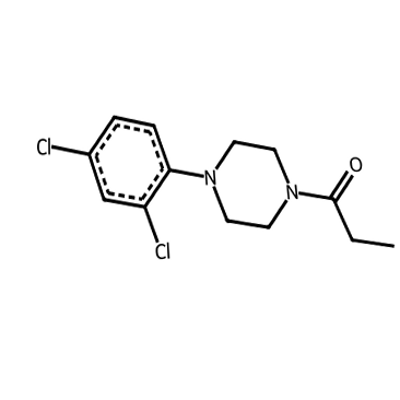 CCC(=O)N1CCN(c2ccc(Cl)cc2Cl)CC1